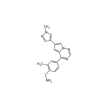 Cc1cc(-c2ncnn3cc(-c4cnn(C)c4)cc23)ccc1CN